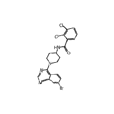 O=C(NC1CCN(c2ncnc3cc(Br)ccc23)CC1)c1cccc(Cl)c1Cl